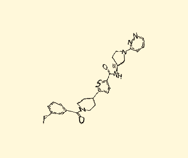 O=C(N[C@H]1CCN(c2cccnn2)C1)c1ccc(C2CCN(C(=O)c3cccc(F)c3)CC2)s1